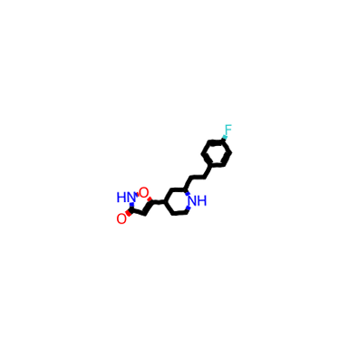 O=c1cc(C2CCNC(CCc3ccc(F)cc3)C2)o[nH]1